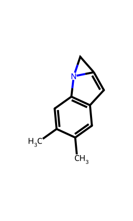 Cc1cc2cc3n(c2cc1C)C3